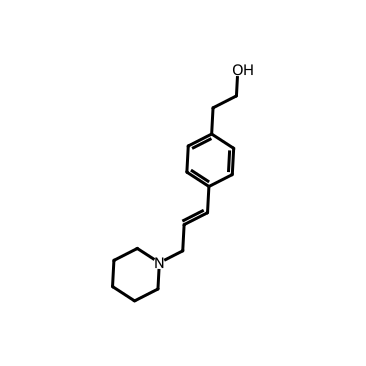 OCCc1ccc(/C=C/CN2CCCCC2)cc1